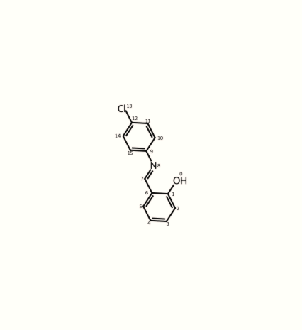 Oc1ccccc1/C=N/c1ccc(Cl)cc1